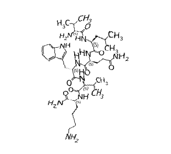 CC(C)C[C@H](NC(=O)[C@@H](N)C(C)C)C(=O)N[C@@H](CCC(N)=O)C(=O)N[C@@H](Cc1c[nH]c2ccccc12)C(=O)N[C@H](C(=O)N[C@@H](CCCCN)C(N)=O)C(C)C